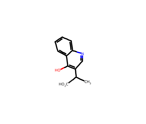 CC(C(=O)O)c1cnc2ccccc2c1O